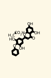 CC(=O)O.O=c1cc(-c2cc(O)c(Oc3ccccc3)c(O)c2)oc2cc(O)cc(O)c12